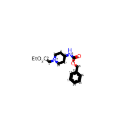 CCOC(=O)CN1CCC(NC(=O)OCc2ccccc2)CC1